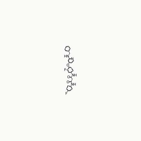 O=C(CC(=O)Nc1ccc(Oc2ccnc(NCc3ccccc3)c2)c(F)c1)Nc1ccc(F)cc1